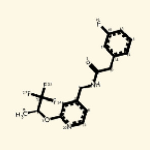 C[C@H](Oc1cc(CNC(=O)Cc2cccc(F)c2)ccn1)C(F)(F)F